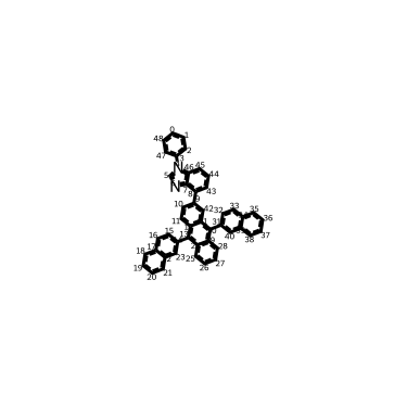 c1ccc(-n2cnc3c(-c4ccc5c(-c6ccc7ccccc7c6)c6ccccc6c(-c6ccc7ccccc7c6)c5c4)cccc32)cc1